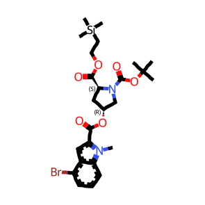 Cn1c(C(=O)O[C@@H]2C[C@@H](C(=O)OCC[Si](C)(C)C)N(C(=O)OC(C)(C)C)C2)cc2c(Br)cccc21